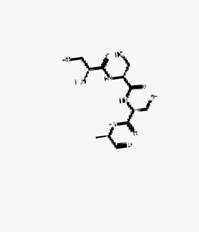 C[C@H]([C]=O)NC(=O)[C@H](CS)NC(=O)[C@H](CO)NC(=O)[C@@H](N)CO